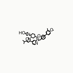 COc1ccc(C23CCC(CN(C(=O)C4CCC(N5CC(O)C5)CC4)c4cc(-c5cc(C(C)C)on5)ccn4)(CC2)CC3)cc1C